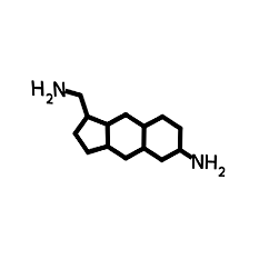 NCC1CCC2CC3CC(N)CCC3CC12